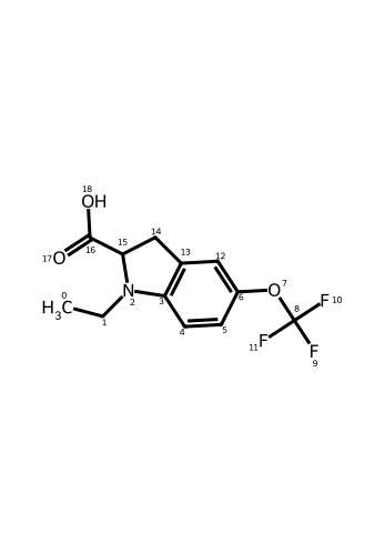 CCN1c2ccc(OC(F)(F)F)cc2CC1C(=O)O